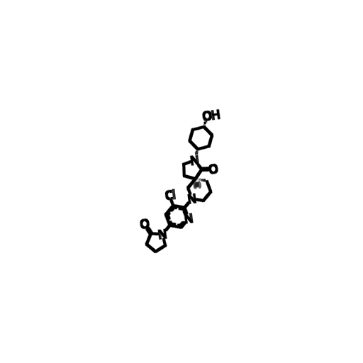 O=C1CCCN1c1cnc(N2CCC[C@@]3(CCN([C@H]4CC[C@@H](O)CC4)C3=O)C2)c(Cl)c1